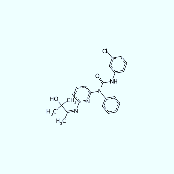 CC(=Nc1nccc(N(C(=O)Nc2cccc(Cl)c2)c2ccccc2)n1)C(C)(C)O